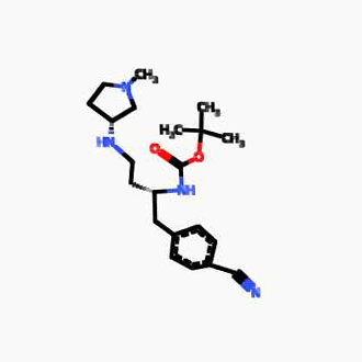 CN1CC[C@@H](NCC[C@@H](Cc2ccc(C#N)cc2)NC(=O)OC(C)(C)C)C1